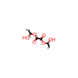 CC(O)OC(=O)C(=O)OC(C)O